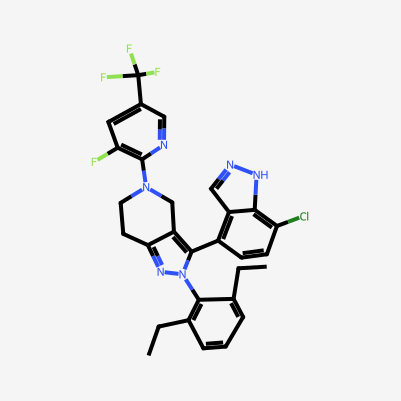 CCc1cccc(CC)c1-n1nc2c(c1-c1ccc(Cl)c3[nH]ncc13)CN(c1ncc(C(F)(F)F)cc1F)CC2